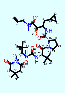 C=CCNC(=O)C(=O)C(CC1CC1)NC(=O)[C@@H]1CCCN1C(=O)[C@@H](NC(=O)N[C@H](CN1C(=O)CC(C)(C)CC1=O)C(C)(C)C)C(C)(C)C